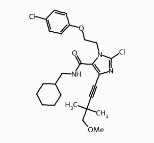 COCC(C)(C)C#Cc1nc(Cl)n(CCOc2ccc(Cl)cc2)c1C(=O)NCC1CCCCC1